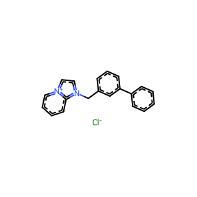 [Cl-].c1ccc(-c2cccc(Cn3cc[n+]4ccccc34)c2)cc1